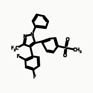 CS(=O)(=O)c1ccc(-c2c(-c3ccc(F)cc3F)c(C(F)(F)F)nn2-c2ccccc2)cc1